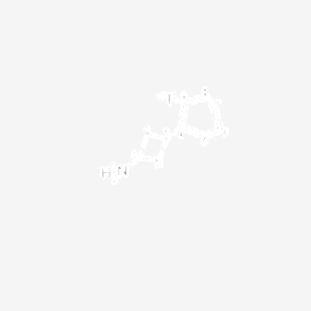 NC1CC(c2ccccc2F)C1